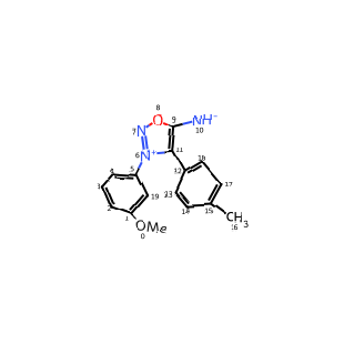 COc1cccc(-[n+]2noc([NH-])c2-c2ccc(C)cc2)c1